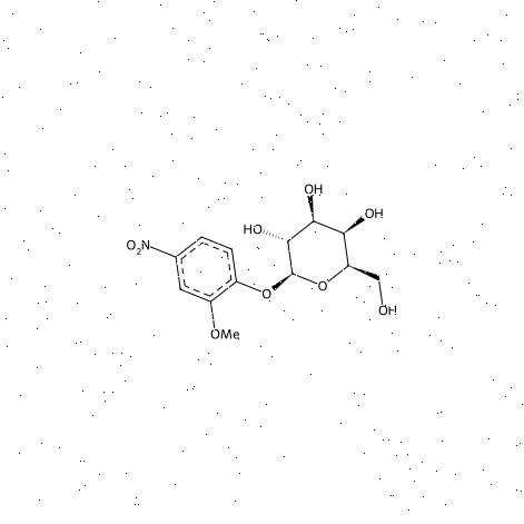 COc1cc([N+](=O)[O-])ccc1O[C@@H]1O[C@H](CO)[C@H](O)[C@H](O)[C@H]1O